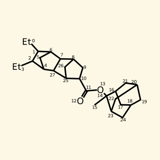 CCC1C(CC)C2CC1C1C3CC(C(=O)OC4(C)C5CC6CC(C5)CC4C6)C(C3)C21